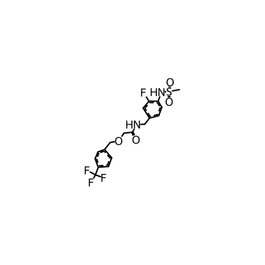 CS(=O)(=O)Nc1ccc(CNC(=O)COCc2ccc(C(F)(F)F)cc2)cc1F